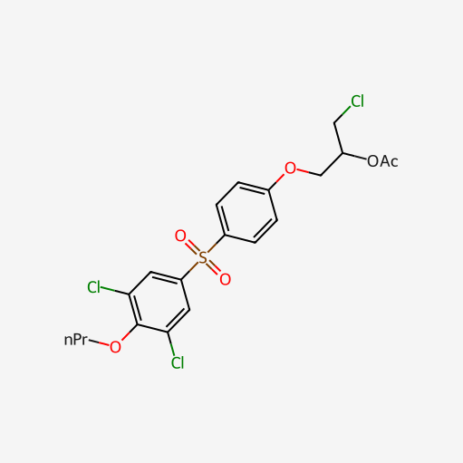 [CH2][CH]COc1c(Cl)cc(S(=O)(=O)c2ccc(OCC(CCl)OC(C)=O)cc2)cc1Cl